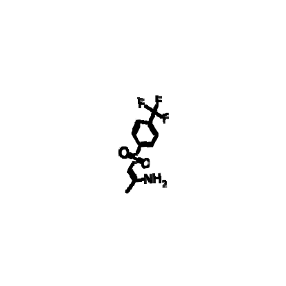 CC(N)=CS(=O)(=O)c1ccc(C(F)(F)F)cc1